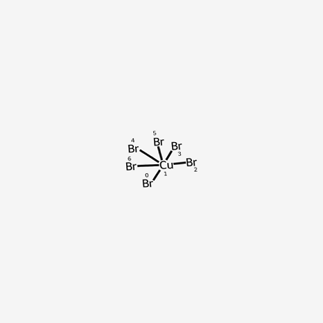 [Br][Cu]([Br])([Br])([Br])([Br])[Br]